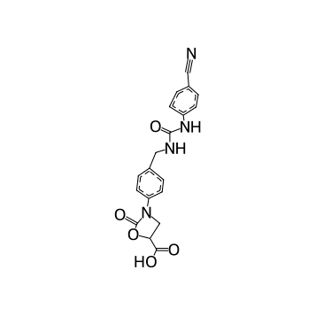 N#Cc1ccc(NC(=O)NCc2ccc(N3CC(C(=O)O)OC3=O)cc2)cc1